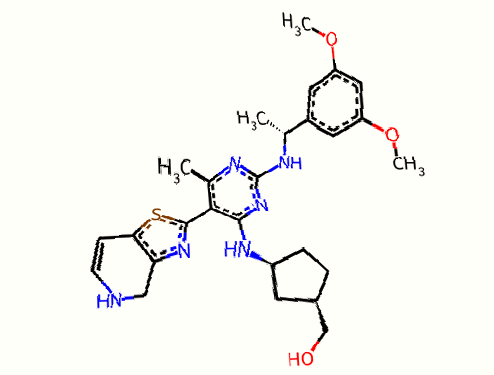 COc1cc(OC)cc([C@@H](C)Nc2nc(C)c(-c3nc4c(s3)C=CNC4)c(N[C@H]3CC[C@@H](CO)C3)n2)c1